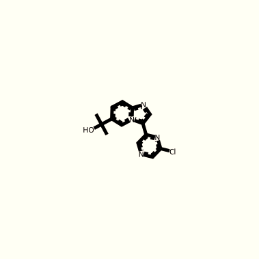 CC(C)(O)c1ccc2ncc(-c3cncc(Cl)n3)n2c1